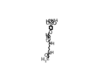 C=CC(=O)NCCCCCNC(=O)Cn1cc(COc2ccc(-n3c(=O)[nH][nH]c3=O)cc2)nn1